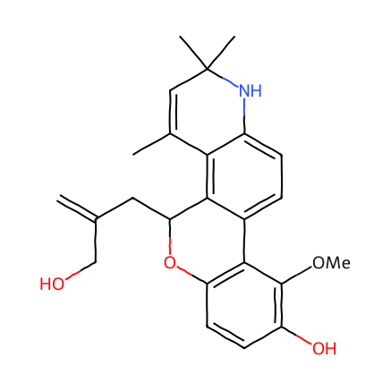 C=C(CO)CC1Oc2ccc(O)c(OC)c2-c2ccc3c(c21)C(C)=CC(C)(C)N3